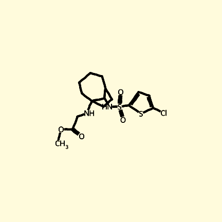 COC(=O)CNC12CCCCC(CC1)C2NS(=O)(=O)c1ccc(Cl)s1